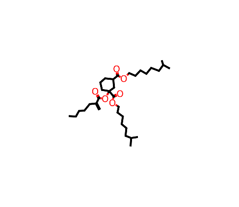 C=C(CCCCC)C(=O)OC1(C(=O)OCCCCCCC(C)C)CCCC(C(=O)OCCCCCCC(C)C)C1